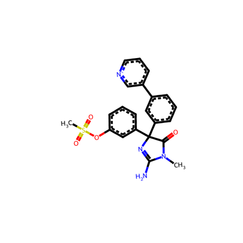 CN1C(=O)C(c2cccc(OS(C)(=O)=O)c2)(c2cccc(-c3cccnc3)c2)N=C1N